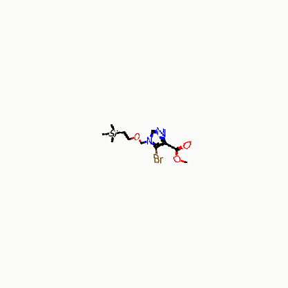 COC(=O)c1ncn(COCC[Si](C)(C)C)c1Br